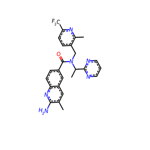 Cc1cc2cc(C(=O)N(Cc3ccc(C(F)(F)F)nc3C)C(C)c3ncccn3)ccc2nc1N